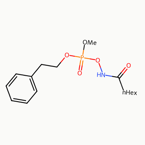 CCCCCCC(=O)NOP(=O)(OC)OCCc1ccccc1